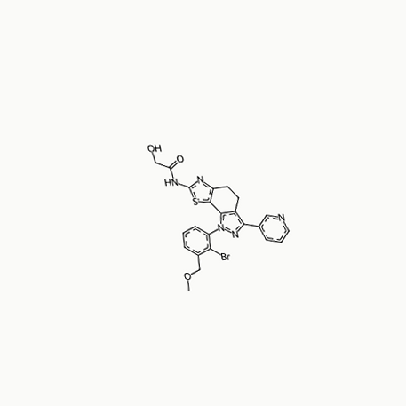 COCc1cccc(-n2nc(-c3cccnc3)c3c2-c2sc(NC(=O)CO)nc2CC3)c1Br